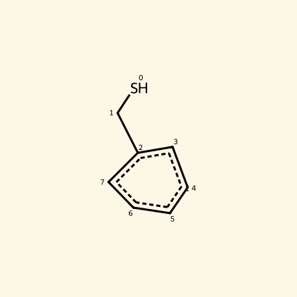 SCc1c[c]ccc1